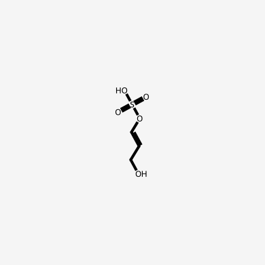 O=S(=O)(O)OC=CCO